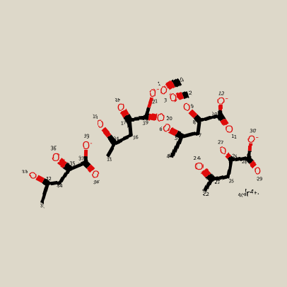 C=O.C=O.CC(=O)CC(=O)C(=O)[O-].CC(=O)CC(=O)C(=O)[O-].CC(=O)CC(=O)C(=O)[O-].CC(=O)CC(=O)C(=O)[O-].[Ir+4]